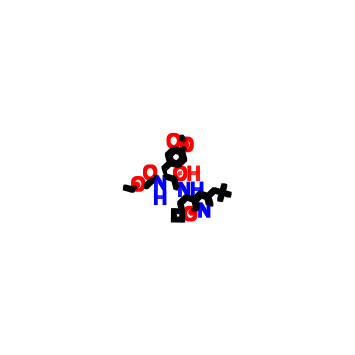 CCOCC(=O)N[C@@H](Cc1ccc2c(c1)OCO2)[C@H](O)CN[C@H]1CC2(CCC2)Oc2ncc(CC(C)(C)C)cc21